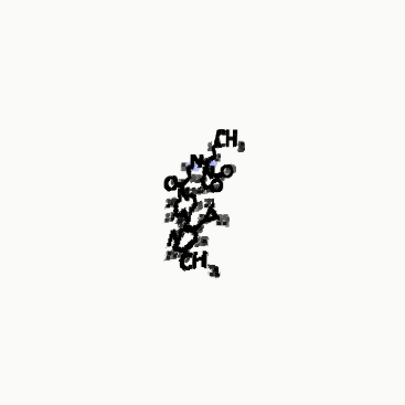 CC/C=C(\N=C/CC(=O)N1CCN(c2ncc(C)cc2C2CC2)CC1)N1CCOC1=O